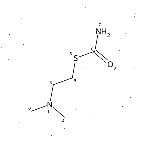 CN(C)CCSC(N)=O